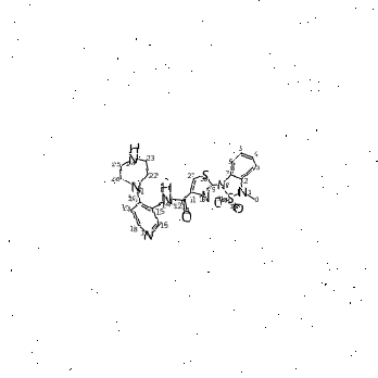 CN1c2ccccc2N(c2nc(C(=O)Nc3cnccc3N3CCNCC3)cs2)S1(=O)=O